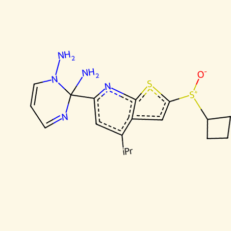 CC(C)c1cc(C2(N)N=CC=CN2N)nc2sc([S+]([O-])C3CCC3)cc12